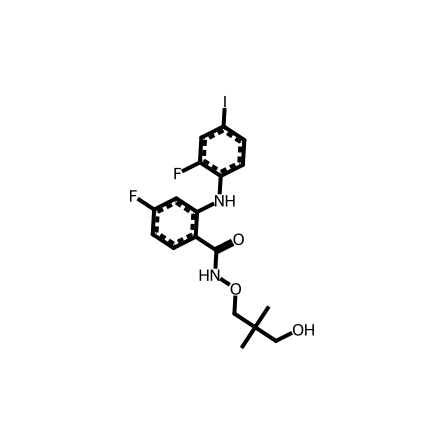 CC(C)(CO)CONC(=O)c1ccc(F)cc1Nc1ccc(I)cc1F